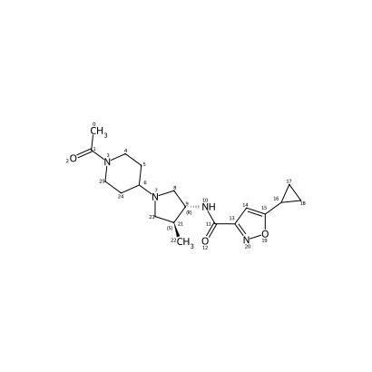 CC(=O)N1CCC(N2C[C@H](NC(=O)c3cc(C4CC4)on3)[C@@H](C)C2)CC1